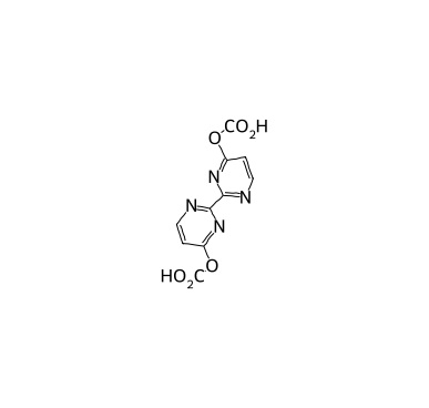 O=C(O)Oc1ccnc(-c2nccc(OC(=O)O)n2)n1